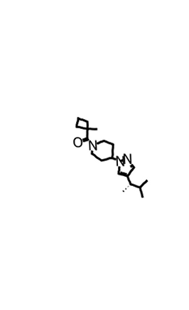 CC(C)[C@H](C)c1cnn(C2CCN(C(=O)C3(C)CCC3)CC2)c1